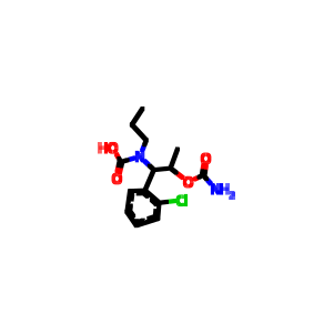 CCCN(C(=O)O)C(c1ccccc1Cl)C(C)OC(N)=O